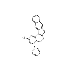 Clc1nc(-c2ccccc2)c2ccc3sc4cc5ccccc5cc4c3c2n1